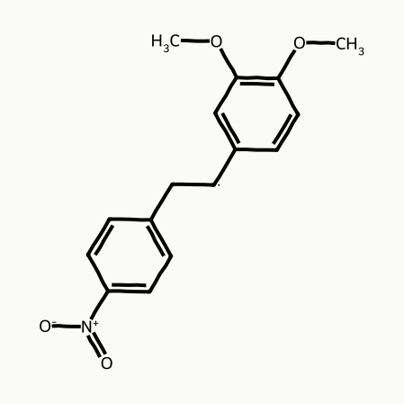 COc1ccc([CH]Cc2ccc([N+](=O)[O-])cc2)cc1OC